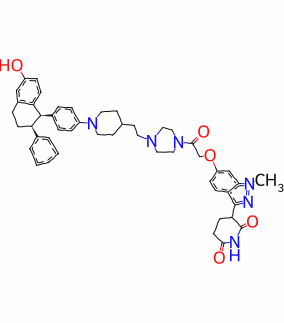 Cn1nc(C2CCC(=O)NC2=O)c2ccc(OCC(=O)N3CCN(CCC4CCN(c5ccc([C@@H]6c7ccc(O)cc7CC[C@@H]6c6ccccc6)cc5)CC4)CC3)cc21